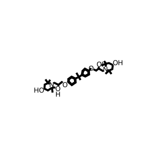 CC(C)(c1ccc(OCC(O)CN2C(C)(C)CC(O)CC2(C)C)cc1)c1ccc(OCC(O)CN2C(C)(C)CC(O)CC2(C)C)cc1